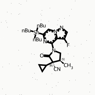 CCC[CH2][Sn]([CH2]CCC)([CH2]CCC)[c]1cn2ncc(F)c2c(N2C[C@@H](C)[C@@](C#N)(C3CC3)C2=O)n1